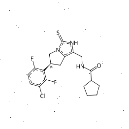 O=C(NCc1[nH]c(=S)n2c1C[C@@H](c1c(F)ccc(Cl)c1F)C2)C1CCCC1